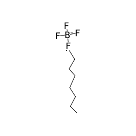 F[B-](F)(F)F.[CH2]CCCCCCC